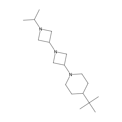 CC(C)N1CC(N2CC(N3CCC(C(C)(C)C)CC3)C2)C1